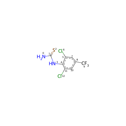 NC(=S)Nc1c(Cl)cc(C(F)(F)F)cc1Cl